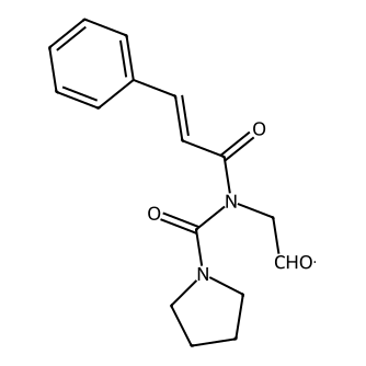 O=[C]CN(C(=O)/C=C/c1ccccc1)C(=O)N1CCCC1